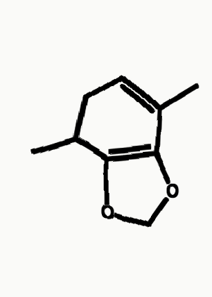 CC1=CCC(C)C2=C1OCO2